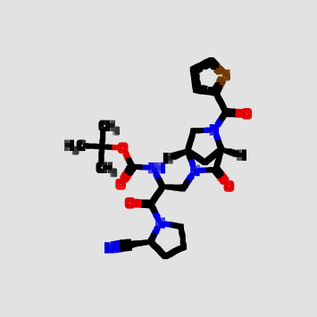 CC(C)(C)OC(=O)N[C@@H](CN1C(=O)[C@@H]2C[C@H]1CN2C(=O)c1cccs1)C(=O)N1CCC[C@H]1C#N